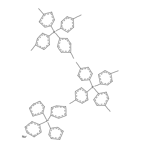 Cc1ccc([B-](c2ccc(C)cc2)(c2ccc(C)cc2)c2ccc(C)cc2)cc1.Cc1ccc([B-](c2ccc(C)cc2)(c2ccc(C)cc2)c2ccc(C)cc2)cc1.[Na+].c1ccc([P+](c2ccccc2)(c2ccccc2)c2ccccc2)cc1